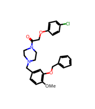 COc1ccc(CN2CCN(C(=O)COc3ccc(Cl)cc3)CC2)cc1OCc1ccccc1